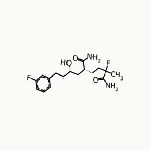 CC(F)(CC[C@H](C[C@@H](O)[CH]Cc1cccc(F)c1)C(N)=O)C(N)=O